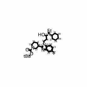 CCN(C(O)CCn1c(C2CCCN(C(=O)OC(C)(C)C)C2)nc2cc(F)ccc21)C1CCCCC1